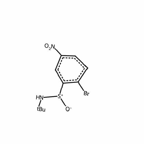 CC(C)(C)N[S+]([O-])c1cc([N+](=O)[O-])ccc1Br